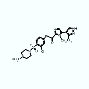 Cn1c(-c2c[nH]nc2C(F)(F)F)cnc1C(=O)Nc1ccc(S(=O)(=O)N2CCN(C(=O)O)CC2)c(Cl)c1